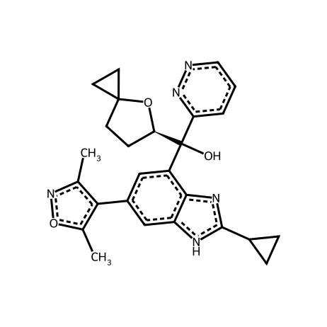 Cc1noc(C)c1-c1cc(C(O)(c2cccnn2)[C@H]2CCC3(CC3)O2)c2nc(C3CC3)[nH]c2c1